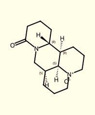 O=C1CCC[C@@H]2[C@H]3CCC[N+]4([O-])CCC[C@@H](CN12)[C@@H]34